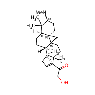 CN[C@H]1CC[C@]23C[C@]24CC[C@]2(C)C(C(=O)CO)=CC[C@@]2(C)[C@@H]4CC[C@H]3C1(C)C